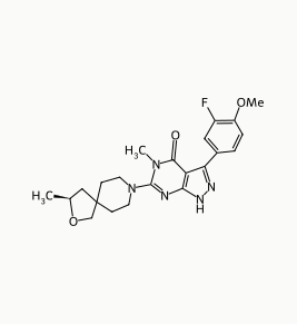 COc1ccc(-c2n[nH]c3nc(N4CCC5(CC4)CO[C@@H](C)C5)n(C)c(=O)c23)cc1F